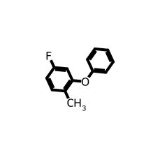 Cc1ccc(F)cc1Oc1ccccc1